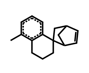 Cc1cccc2c1CCCC21CC2C=CC1C2